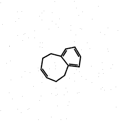 C1=CCCc2ccccc2CC1